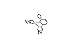 Cl.O=C1C=CC=c2c1ccc1c2=CN=C1